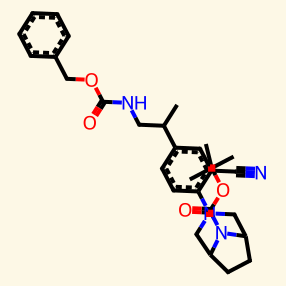 CC(CNC(=O)OCc1ccccc1)c1ccc(N2CC3CCC(C2)N3C(=O)OC(C)(C)C)c(C#N)c1